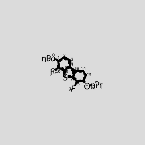 CCCCc1ccc2c(sc3c(F)c(OCCC)ccc32)c1F